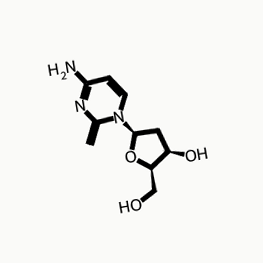 C=C1N=C(N)C=CN1[C@H]1C[C@@H](O)[C@@H](CO)O1